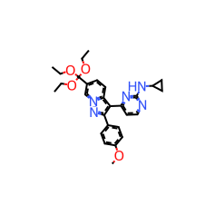 CCOC(OCC)(OCC)c1ccc2c(-c3ccnc(NC4CC4)n3)c(-c3ccc(OC)cc3)nn2c1